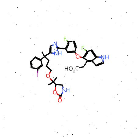 CC(CCCOC(C)(C)C1CNC(=O)O1)(c1cccc(I)c1)c1cnc(-c2cc(Oc3c(F)cc4[nH]ccc4c3CC(=O)O)ccc2F)[nH]1